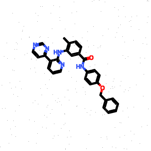 Cc1ccc(C(=O)Nc2ccc(OCc3ccccc3)cc2)cc1Nc1ncccc1-c1ccncn1